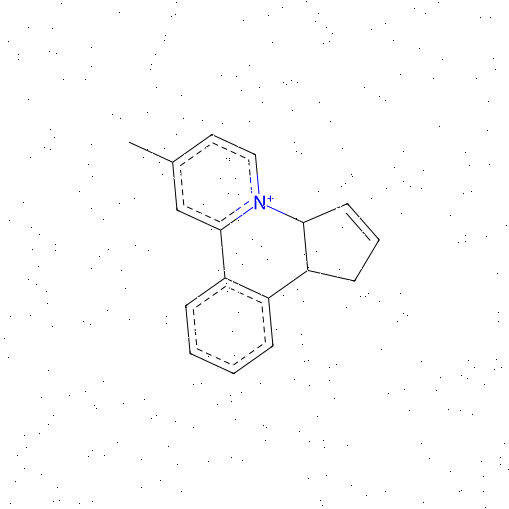 Cc1cc[n+]2c(c1)-c1ccccc1C1CC=CC12